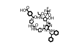 CCC(=O)N[C@H]1C[C@@H](n2cnc3c(NCC(c4ccccc4)c4ccccc4)nc(N4CC[C@@H](NC(=O)N[C@@H]5CCN(C(=O)c6ccc(C(=O)O)cc6)C5)C4)nc32)[C@H](O)[C@@H]1OC(=O)C(F)(F)F